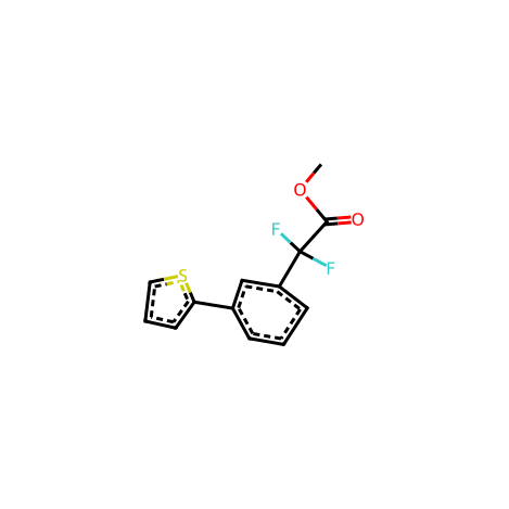 COC(=O)C(F)(F)c1cccc(-c2cccs2)c1